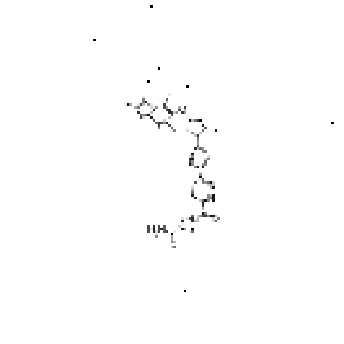 Cc1cc2nc(C)c(O[C@@H]3CCC(c4ccc(-c5ccc(C(=O)N6CC(C(N)=O)C6)nn5)cc4)C3)c(C)n2n1